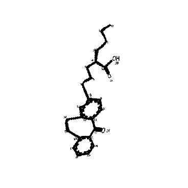 CCCCC(CCCc1ccc2c(c1)CCc1ccccc1C2=O)C(=O)O